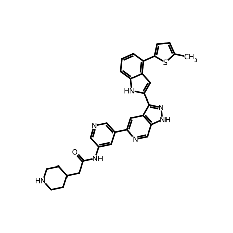 Cc1ccc(-c2cccc3[nH]c(-c4n[nH]c5cnc(-c6cncc(NC(=O)CC7CCNCC7)c6)cc45)cc23)s1